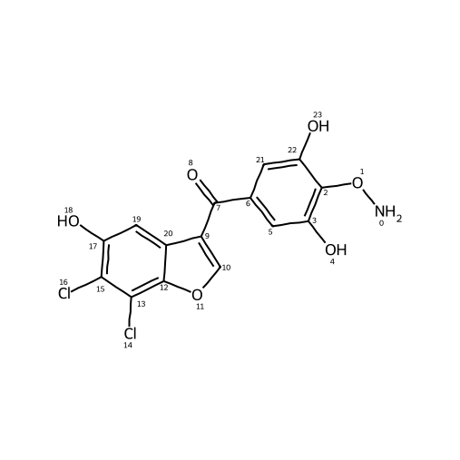 NOc1c(O)cc(C(=O)c2coc3c(Cl)c(Cl)c(O)cc23)cc1O